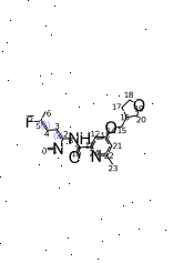 C=N/C(=C\C=C(/C)F)NC(=O)c1cc(OCC2CCOC2)cc(C)n1